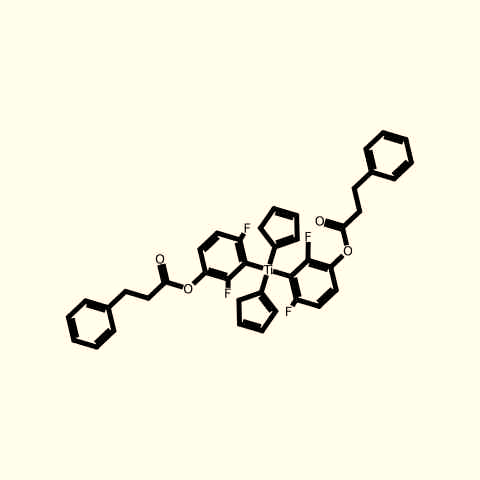 O=C(CCc1ccccc1)Oc1ccc(F)[c]([Ti]([C]2=CC=CC2)([C]2=CC=CC2)[c]2c(F)ccc(OC(=O)CCc3ccccc3)c2F)c1F